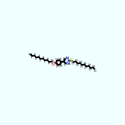 C=CCCCCCCCCCOc1ccc(-c2cnc(SCCCCCCCCCCC)nc2)cc1